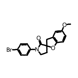 COc1ccc2c(c1)CC1(CCN(c3ccc(Br)cc3)C1=O)O2